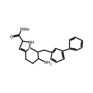 CNC(=O)C1C=C2CCC(N)C(Cc3cccc(-c4ccccc4)c3)N2N1